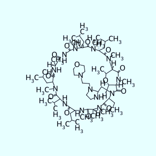 CCC1C(=O)N(C)[C@H](C)C(=O)N(C)[C@@H](CC(C)C)C(=O)NC(C(C)C)C(=O)N(C)C(CC(C)C)C(=O)N[C@H](C)C(=O)NC(=O)N(C)[C@H](CC(C)C)C(=O)N(C)[C@@H](CC(C)C)C(=O)N(C)[C@@H]2C(=O)N(C)[C@@H]3C(=O)N1[C@H](CC1NCCN1CCN1CCOCC1)[C@H]3OC2C